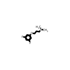 CN(C)CCCOc1cc(F)cc(F)c1